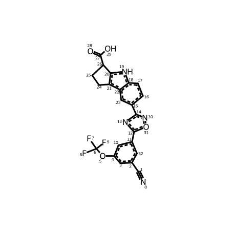 N#Cc1cc(OC(F)(F)F)cc(-c2nc(-c3ccc4[nH]c5c(c4c3)CCC5C(=O)O)no2)c1